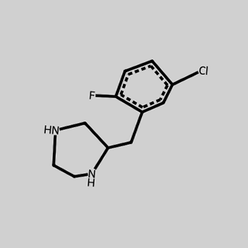 Fc1ccc(Cl)cc1CC1CNCCN1